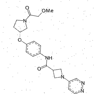 COCC(=O)N1CC[C@@H](Oc2ccc(NC(=O)C3CN(c4ccnnc4)C3)cc2)C1